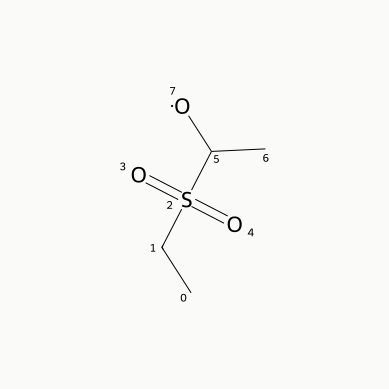 CCS(=O)(=O)C(C)[O]